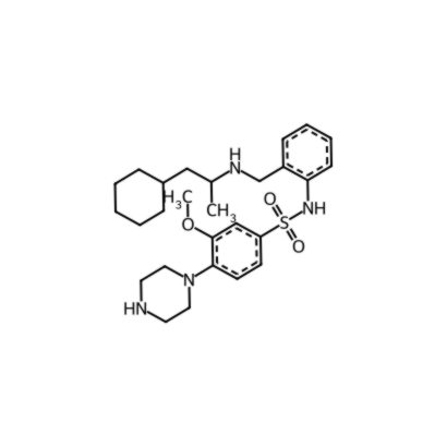 COc1cc(S(=O)(=O)Nc2ccccc2CNC(C)CC2CCCCC2)ccc1N1CCNCC1